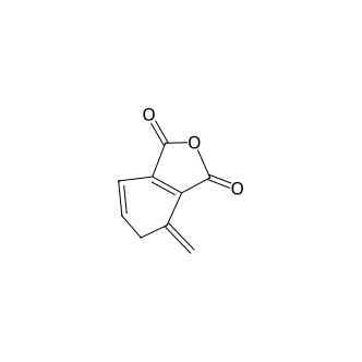 C=C1CC=CC2=C1C(=O)OC2=O